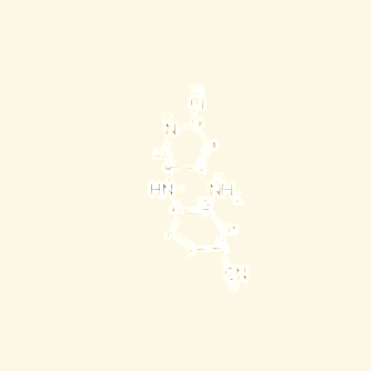 N#Cc1ccc(Nc2ccc(Cl)nc2)c(N)c1